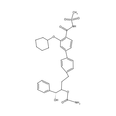 CS(=O)(=O)NC(=O)c1ccc(-c2ccc(CCC(OC(N)=O)[C@H](O)c3ccccc3)cc2)cc1OC1CCCCC1